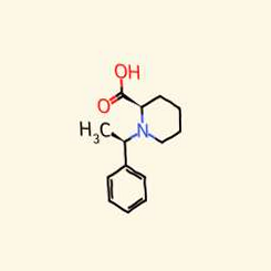 C[C@H](c1ccccc1)N1CCCC[C@@H]1C(=O)O